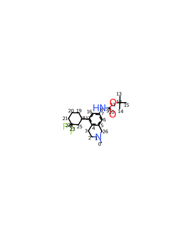 CN1CCc2c(cc(NC(=O)OC(C)(C)C)cc2C2CCCC(F)(F)C2)C1